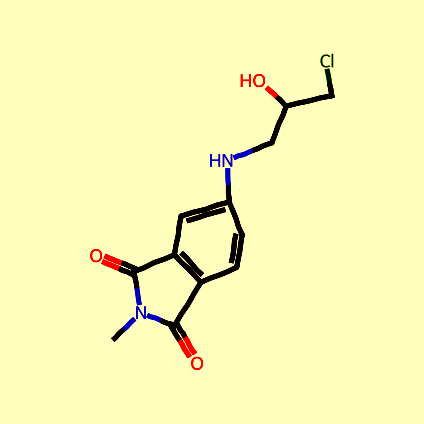 CN1C(=O)c2ccc(NCC(O)CCl)cc2C1=O